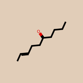 CC=CCCC(=O)CCCC